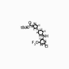 CC(C)(C)OC(=O)n1cc(-c2ccc(Nc3cc(C(F)(F)F)nc(Cl)n3)cc2)cn1